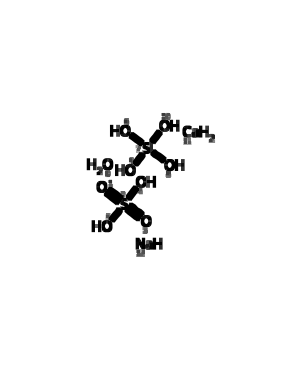 O.O=S(=O)(O)O.O[Si](O)(O)O.[CaH2].[NaH]